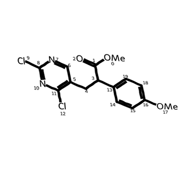 COC(=O)C(Cc1cnc(Cl)nc1Cl)c1ccc(OC)cc1